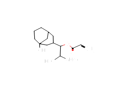 C=CC(=O)OC(C(C)CCCCCC)C1CC2CCCC(C)(C2)C1